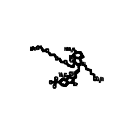 CCN1/C(=C/C=C/C2=[N+](CCCCCC(=O)O)c3ccc(S(=O)(=O)O)cc3C2(C)CCOCCOCCOCCOC)C(C)(C)c2cc(S(=O)(=O)[O-])ccc21